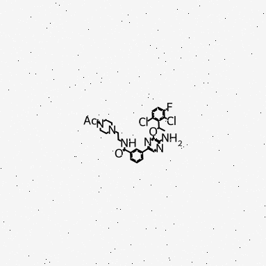 CC(=O)N1CCN(CCNC(=O)c2cccc(-c3cnc(N)c(OC(C)c4c(Cl)ccc(F)c4Cl)n3)c2)CC1